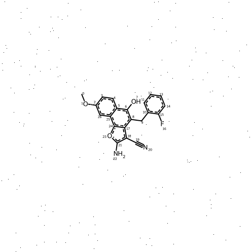 COc1ccc2c(O)c(Cc3ccccc3F)c3c(C#N)c(N)oc3c2c1